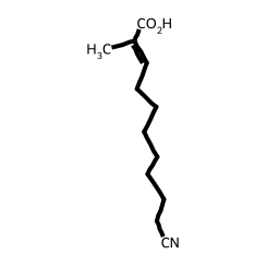 CC(=CCCCCCCCC#N)C(=O)O